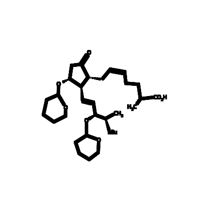 CCCC[C@H](C)[C@H](/C=C/[C@H]1[C@H](OC2CCCCO2)CC(=O)[C@@H]1C/C=C\CCC(C)C(=O)O)OC1CCCCO1